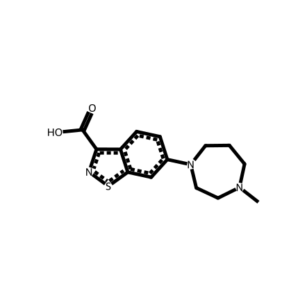 CN1CCCN(c2ccc3c(C(=O)O)nsc3c2)CC1